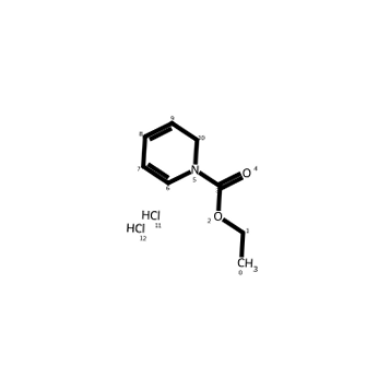 CCOC(=O)N1C=CC=CC1.Cl.Cl